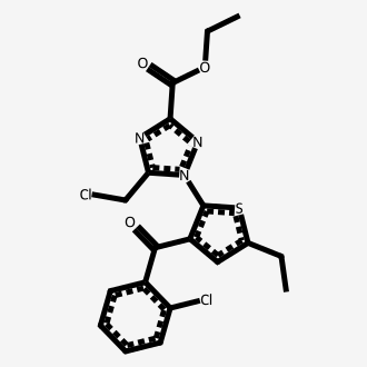 CCOC(=O)c1nc(CCl)n(-c2sc(CC)cc2C(=O)c2ccccc2Cl)n1